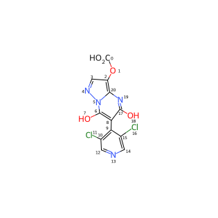 O=C(O)Oc1cnn2c(O)c(-c3c(Cl)cncc3Cl)c(O)nc12